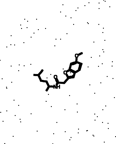 COc1ccc2cc(CC(=O)NC(C)CCC(C)C)oc2c1